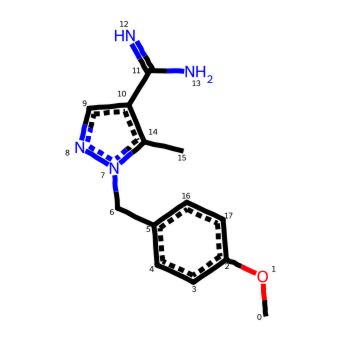 COc1ccc(Cn2ncc(C(=N)N)c2C)cc1